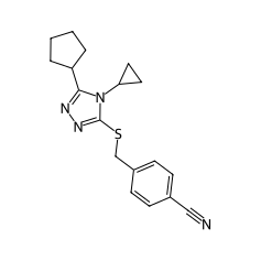 N#Cc1ccc(CSc2nnc(C3CCCC3)n2C2CC2)cc1